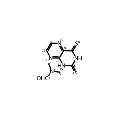 CN(C)C=O.S=c1[nH]c(=S)c2nccnc2[nH]1